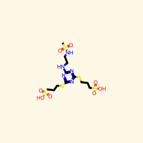 CS(=O)(=O)NCCNc1nc(SCCCS(=O)(=O)O)nc(SCCCS(=O)(=O)O)n1